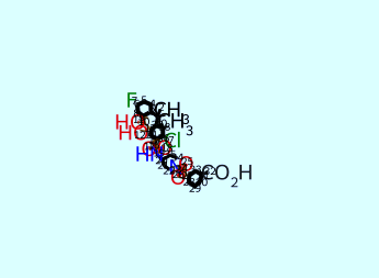 CC1(C)c2ccc(F)cc2S(O)(O)c2cc(S(=O)(=O)NC3CCN(S(=O)(=O)c4cccc(C(=O)O)c4)CC3)c(Cl)cc21